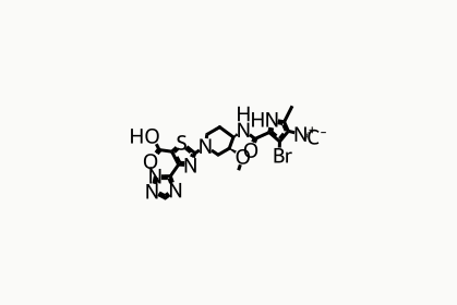 [C-]#[N+]c1c(C)[nH]c(C(=O)N[C@@H]2CCN(c3nc(-c4ncnn4C)c(C(=O)O)s3)C[C@@H]2OC)c1Br